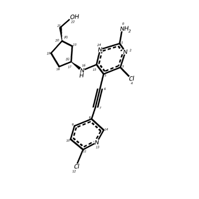 Nc1nc(Cl)c(C#Cc2ccc(Cl)nc2)c(N[C@H]2CC[C@@H](CO)C2)n1